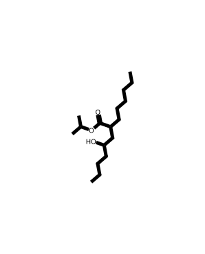 CCCCCCC(CC(O)CCCC)C(=O)OC(C)C